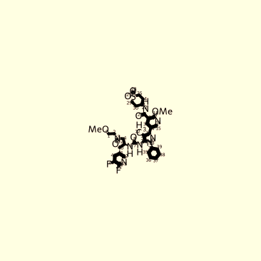 COCCN1C[C@@H](NC(=O)Nc2c(C)c(-c3cnc(OC)c(C(=O)NC4CCS(=O)(=O)CC4)c3)nn2-c2ccccc2)[C@H](c2cnc(F)c(F)c2)O1